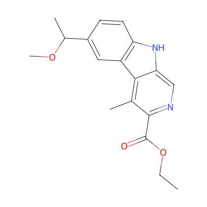 CCOC(=O)c1ncc2[nH]c3ccc(C(C)OC)cc3c2c1C